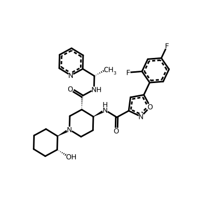 C[C@H](NC(=O)[C@H]1CN([C@@H]2CCCC[C@H]2O)CC[C@@H]1NC(=O)c1cc(-c2ccc(F)cc2F)on1)c1ccccn1